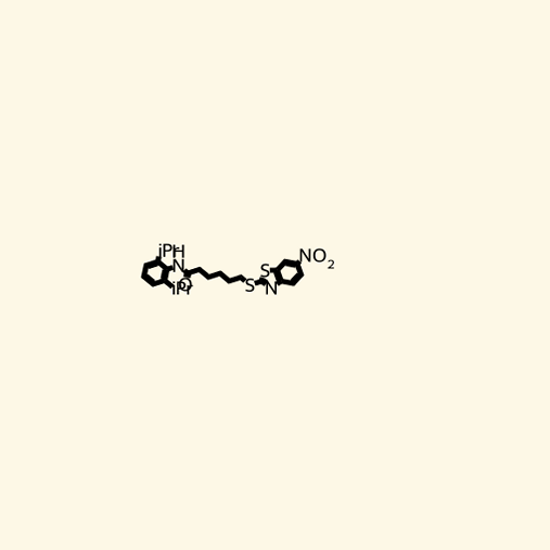 CC(C)c1cccc(C(C)C)c1NC(=O)CCCCCSc1nc2ccc([N+](=O)[O-])cc2s1